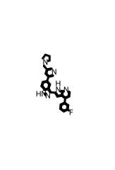 Fc1cccc(-c2ccnc3[nH]c(-c4n[nH]c5ccc(-c6cncc(CN7CCCC7)c6)cc45)cc23)c1